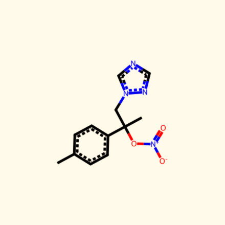 Cc1ccc(C(C)(Cn2cncn2)O[N+](=O)[O-])cc1